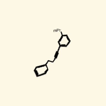 CCCc1cccc(C#CCCc2ccccc2)c1